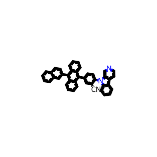 N#Cc1cc(-c2c3ccccc3c(-c3ccc4ccccc4c3)c3ccccc23)ccc1-n1c2ccccc2c2ccncc21